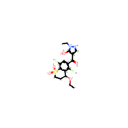 CCOC1CCS(=O)(=O)c2c(F)cc(C(=O)c3cnn(CC)c3O)c(F)c21